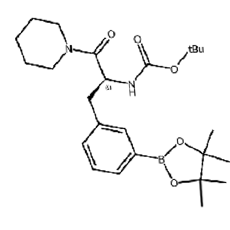 CC(C)(C)OC(=O)N[C@@H](Cc1cccc(B2OC(C)(C)C(C)(C)O2)c1)C(=O)N1CCCCC1